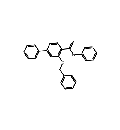 O=C(Nc1cccnc1)c1ccc(-c2ccncc2)cc1OCc1ccccc1